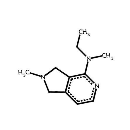 CCN(C)c1nccc2c1CN(C)C2